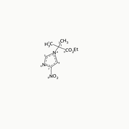 CCOC(=O)C(C)(C)n1cnc([N+](=O)[O-])c1